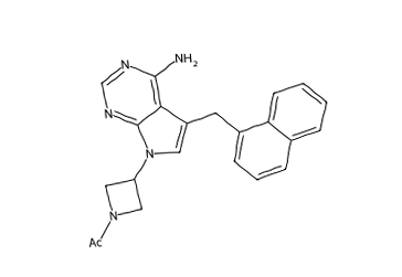 CC(=O)N1CC(n2cc(Cc3cccc4ccccc34)c3c(N)ncnc32)C1